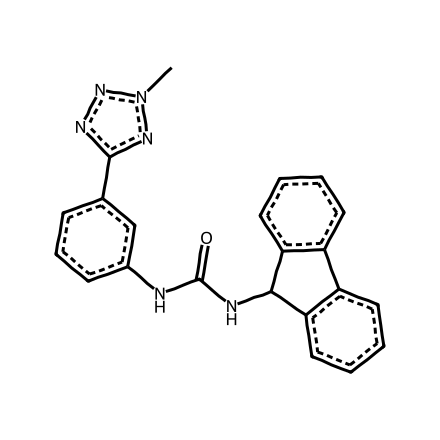 Cn1nnc(-c2cccc(NC(=O)NC3c4ccccc4-c4ccccc43)c2)n1